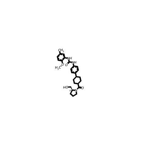 COc1ccc(C)cc1NC(=O)Nc1ccc(C2CCC(C(=O)N3CCC[C@H]3CO)CC2)cc1